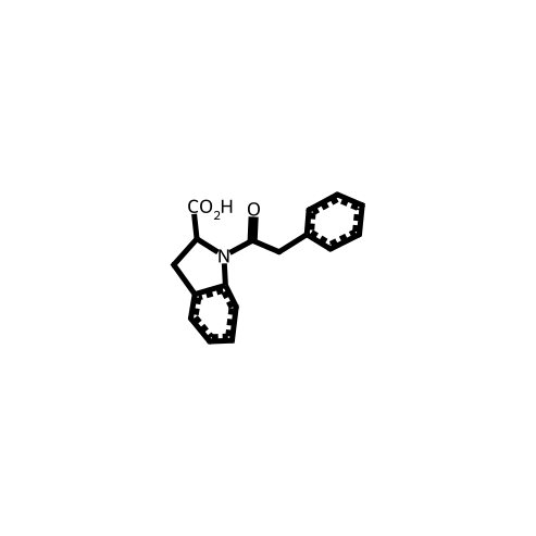 O=C(O)C1Cc2ccccc2N1C(=O)Cc1ccccc1